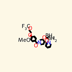 BC1(B)OC2CN(C(=O)c3ccc(OCCOC(F)(F)F)c(OC)c3)CC[C@]2(c2ccccn2)O1